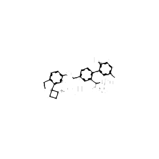 CO[C@@H](c1cc(COc2ccc3c(c2)[C@]2(CC3)CC[C@@H]2C(=O)O)ccc1-c1cc(C)ccc1F)C(C)(C)C